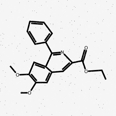 CCOC(=O)c1cc2cc(OC)c(OC)cc2c(-c2ccccc2)n1